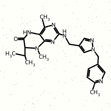 Cc1ccc(Cn2cc(CNc3nc(C)c4c(n3)N(C)C(C(C)C)C(=O)N4)cn2)cn1